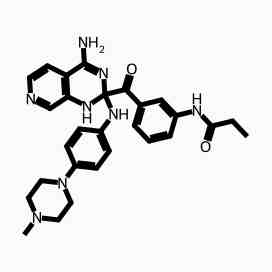 CCC(=O)Nc1cccc(C(=O)C2(Nc3ccc(N4CCN(C)CC4)cc3)N=C(N)c3ccncc3N2)c1